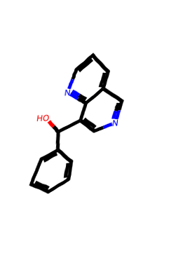 OC(c1ccccc1)c1cncc2cccnc12